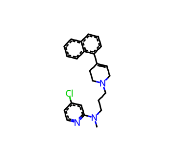 CN(CCCN1CC=C(c2cccc3ccccc23)CC1)c1cc(Cl)ccn1